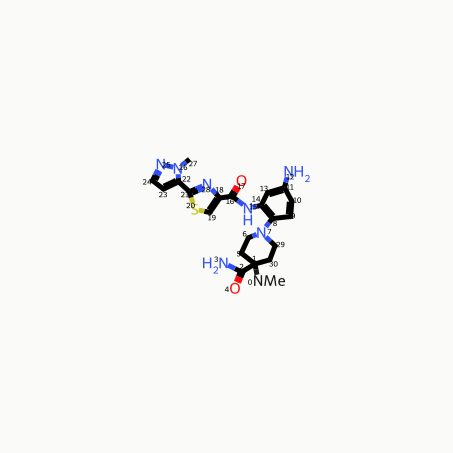 CNC1(C(N)=O)CCN(c2ccc(N)cc2NC(=O)c2csc(-c3ccnn3C)n2)CC1